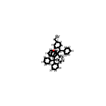 BrCc1ccc(/C(=C(\c2ccccc2)c2nnnn2C(c2ccccc2)(c2ccccc2)c2ccccc2)c2ccccc2)cc1